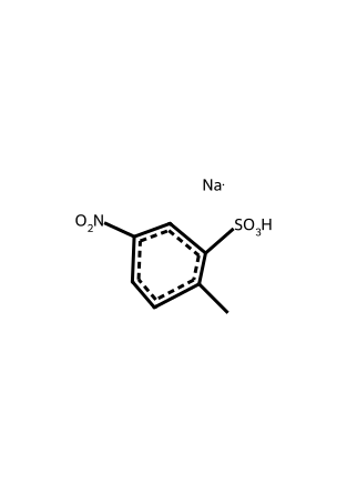 Cc1ccc([N+](=O)[O-])cc1S(=O)(=O)O.[Na]